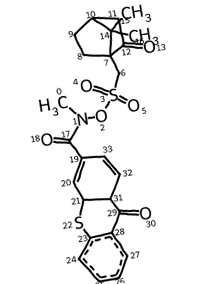 CN(OS(=O)(=O)CC12CCC(CC1=O)C2(C)C)C(=O)C1=CC2Sc3ccccc3C(=O)C2C=C1